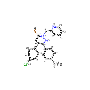 CSc1ccc(-c2nn(Cc3ccccn3)c(=S)cc2-c2ccc(Cl)cc2)cc1